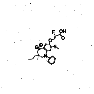 CCC[C@]1(C)CN(c2ccccc2)c2cc(SC)c(O/C=C(\F)C(=O)O)cc2S(=O)(=O)C1